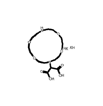 O=C(O)C(C(=O)O)N1CCOCCOCCNCCOCCOCC1.[KH].[KH]